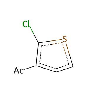 CC(=O)c1ccsc1Cl